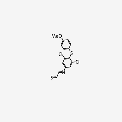 COc1ccc(Sc2c(Cl)cc(N=CC=S)cc2Cl)cc1